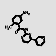 Cc1ccc(N)cc1C(=O)Nc1nccc(-c2cccnc2)n1